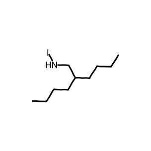 CCCCC(CCCC)CNI